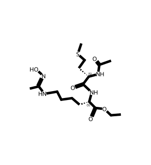 CCOC(=O)[C@H](CCCCNC(C)=NO)NC(=O)[C@H](CCSC)NC(C)=O